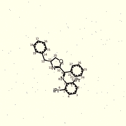 CC(C)c1cccc(C(C)C)c1/N=C(/C1=N[C@@H](Cc2ccccc2)CO1)c1ccccc1